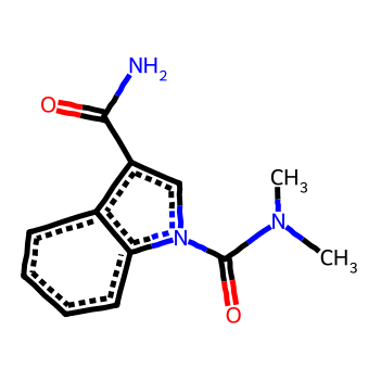 CN(C)C(=O)n1cc(C(N)=O)c2ccccc21